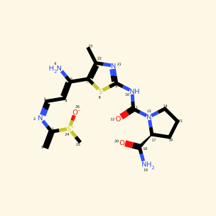 C=C(/N=C\C=C(/N)c1sc(NC(=O)N2CCC[C@H]2C(N)=O)nc1C)[S+](C)[O-]